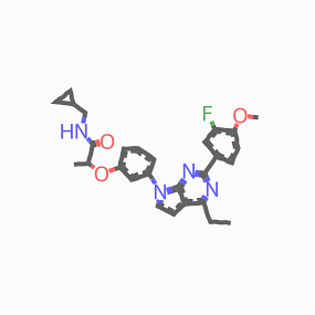 CCc1nc(-c2ccc(OC)c(F)c2)nc2c1ccn2-c1cccc(OC(C)C(=O)NCC2CC2)c1